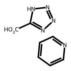 O=C(O)c1nnn[nH]1.c1ccncc1